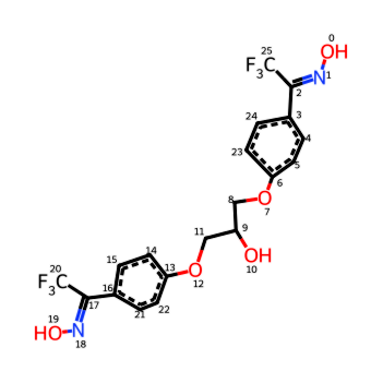 O/N=C(/c1ccc(OCC(O)COc2ccc(/C(=N/O)C(F)(F)F)cc2)cc1)C(F)(F)F